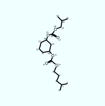 CC(C)CCCOC(=O)OC1CCCC(OC(=O)OCC(C)C)C1